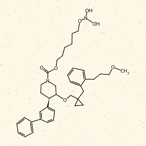 COCCCc1ccccc1CC1(COC2CN(C(=O)OCCCCCCON(O)O)CC[C@@H]2c2cccc(-c3ccccc3)c2)CC1